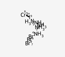 N.N.N.N.N.[Br-].[Br-].[Br-].[Cr+3][I]